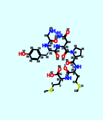 CSCC[C@H](NC(=O)[C@H](CCSC)NC(=O)[C@@H]1CCCN1C(=O)[C@H](CC(N)=O)NC(=O)[C@H](Cc1ccc(O)cc1)NC(=O)CN)C(=O)O